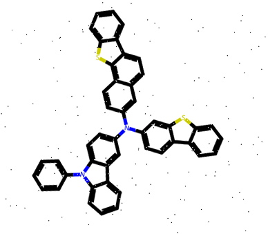 c1ccc(-n2c3ccccc3c3cc(N(c4ccc5c(ccc6c7ccccc7sc56)c4)c4ccc5c(c4)sc4ccccc45)ccc32)cc1